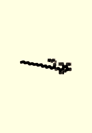 CCCCCCCCCCCCCCCC(=O)OC[C@H](O)[C@H]1OC(=O)C(O)=C1O.[MgH2]